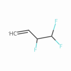 [CH]=CC(F)C(F)F